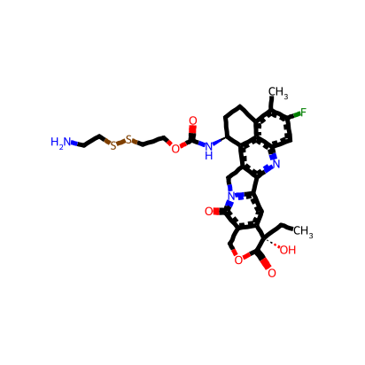 CC[C@@]1(O)C(=O)OCc2c1cc1n(c2=O)Cc2c-1nc1cc(F)c(C)c3c1c2[C@@H](NC(=O)OCCSSCCN)CC3